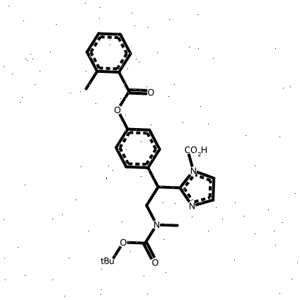 Cc1ccccc1C(=O)Oc1ccc(C(CN(C)C(=O)OC(C)(C)C)c2nccn2C(=O)O)cc1